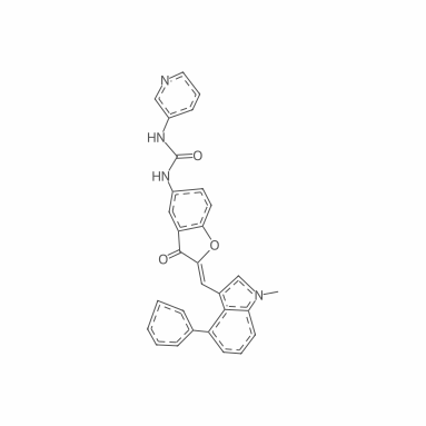 Cn1cc(C=C2Oc3ccc(NC(=O)Nc4cccnc4)cc3C2=O)c2c(-c3ccccc3)cccc21